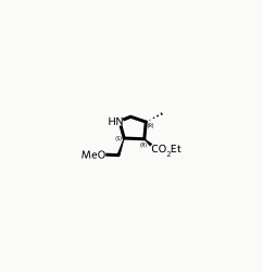 CCOC(=O)[C@@H]1[C@@H](C)CN[C@@H]1COC